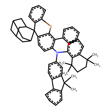 CC1(C)CCC(C)(C)c2c(N(c3ccc4c(c3)C(C)(C)c3ccccc3-4)c3ccc4c(c3-c3ccccc3)Sc3ccccc3C43C4CC5CC(C4)CC3C5)cccc21